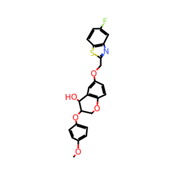 COc1ccc(OC2COc3ccc(OCc4nc5cc(F)ccc5s4)cc3C2O)cc1